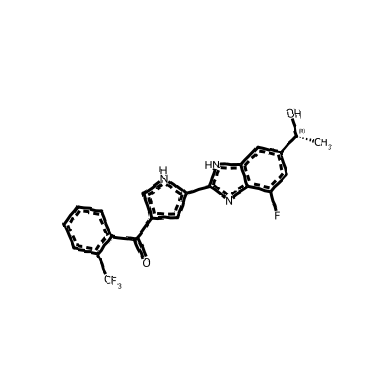 C[C@@H](O)c1cc(F)c2nc(-c3cc(C(=O)c4ccccc4C(F)(F)F)c[nH]3)[nH]c2c1